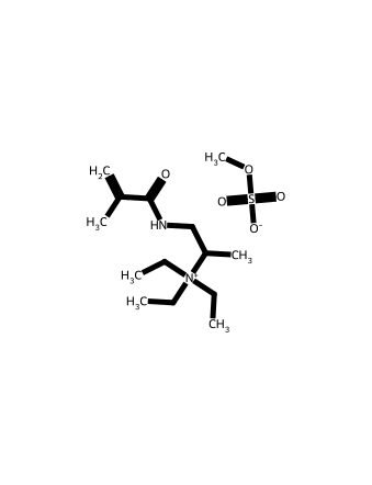 C=C(C)C(=O)NCC(C)[N+](CC)(CC)CC.COS(=O)(=O)[O-]